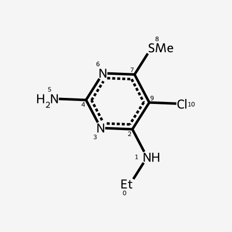 CCNc1nc(N)nc(SC)c1Cl